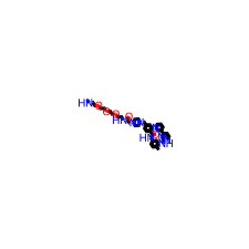 CNCCOCCOCCOCCNC(=O)CN1CCN(Cc2ccc(C(=O)Nc3ccc(C)c(Nc4nccc(-c5cccnc5)n4)c3)cc2)CC1